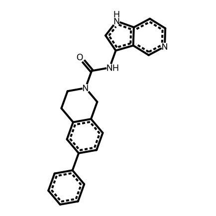 O=C(Nc1c[nH]c2ccncc12)N1CCc2cc(-c3ccccc3)ccc2C1